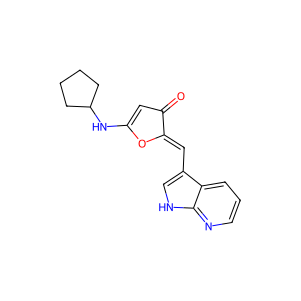 O=C1C=C(NC2CCCC2)OC1=Cc1c[nH]c2ncccc12